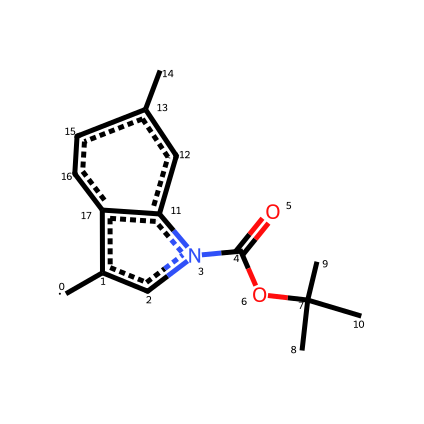 [CH2]c1cn(C(=O)OC(C)(C)C)c2cc(C)ccc12